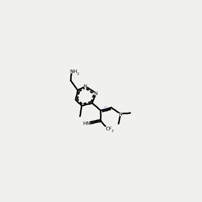 Cc1cc(CN)nnc1/C(=C/N(C)C)C(=N)C(F)(F)F